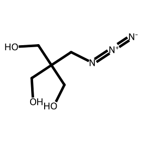 [N-]=[N+]=NCC(CO)(CO)CO